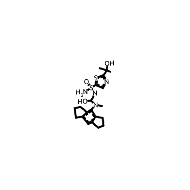 CN(c1c2c(cc3c1CCC3)CCC2)C(O)N=S(N)(=O)c1cnc(C(C)(C)O)s1